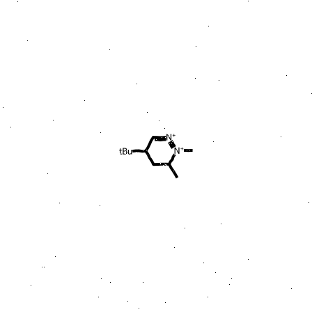 CC1CC(C(C)(C)C)C=[N+]=[N+]1C